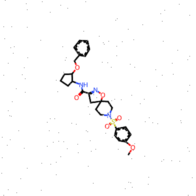 COc1ccc(S(=O)(=O)N2CCC3(CC2)CC(C(=O)NC2CCCC2OCc2ccccc2)=NO3)cc1